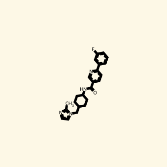 Cc1nccn1CC1CCC(NC(=O)c2ccc(-c3cccc(F)c3)nc2)CC1